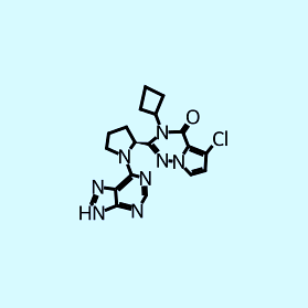 O=c1c2c(Cl)ccn2nc([C@@H]2CCCN2c2ncnc3[nH]cnc23)n1C1CCC1